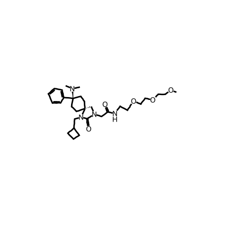 COCCOCCOCCNC(=O)CN1C[C@]2(CC[C@](c3ccccc3)(N(C)C)CC2)N(CC2CCC2)C1=O